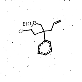 C=CCC(CCCl)(CC(=O)OCC)c1ccccc1